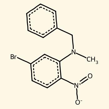 CN(Cc1ccccc1)c1cc(Br)ccc1[N+](=O)[O-]